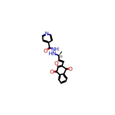 C[C@H](NNC(=O)c1ccncc1)c1cc2c(o1)C(=O)c1ccccc1C2=O